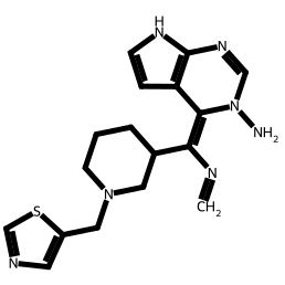 C=N/C(=C1/c2cc[nH]c2N=CN1N)C1CCCN(Cc2cncs2)C1